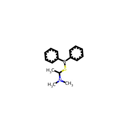 CC(SB(c1ccccc1)c1ccccc1)N(C)C